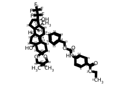 CCOC(=O)c1ccc(NC(=O)OCc2ccc([C@H]3C[C@@]4(C)[C@@H](CC[C@@]4(O)C(F)(F)C(F)(F)F)[C@@H]4CC[C@@]5(O)CC6(CCC5=C43)OCC(C)(C)CO6)cc2)cc1